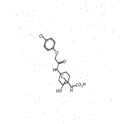 O=C(O)NC12CCC(NC(=O)COc3ccc(Cl)cc3)(CC1)CC2O